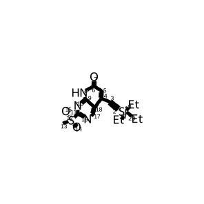 CC[Si](C#Cc1cc(=O)[nH]c2nc(S(C)(=O)=O)ncc12)(CC)CC